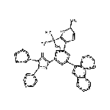 CC1C=CC(c2cc(-c3nc(-c4ccccc4)[n+](-c4ccccc4)[nH]3)cc(-c3cc4ccccc4c4ccccc34)c2)=C(C(C)(C)C)N1